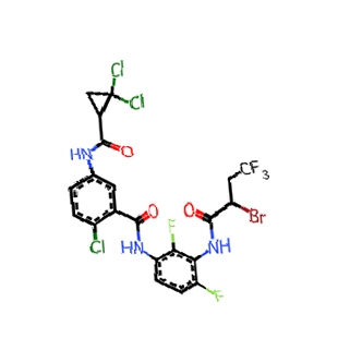 O=C(Nc1ccc(F)c(NC(=O)C(Br)CC(F)(F)F)c1F)c1cc(NC(=O)C2CC2(Cl)Cl)ccc1Cl